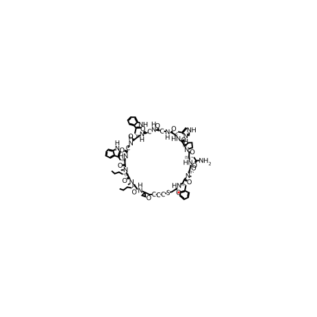 CCCC[C@H]1C(=O)N(C)[C@@H](CCCC)C(=O)NC2(CC2)C(=O)CCCSCC(=O)N[C@@H](Cc2ccccc2)C(=O)N(C)[C@@H](C)C(=O)N[C@@H](CC(N)=O)C(=O)N2CCC[C@H]2C(=O)N[C@@H](Cc2c[nH]cn2)C(=O)NCC(=O)NCC(=O)N[C@@H](Cc2c[nH]c3ccccc23)C(=O)NCC(=O)N[C@@H](Cc2c[nH]c3ccccc23)C(=O)N1C